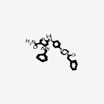 NC(=O)c1cnc(Nc2ccc(N3CCN(C(=O)Cc4ccccc4)CC3)cc2)cc1NCc1ccccc1